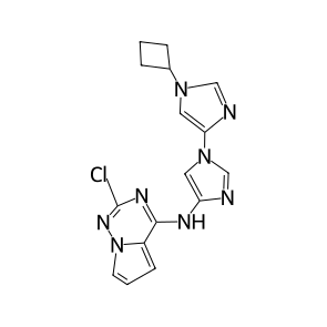 Clc1nc(Nc2cn(-c3cn(C4CCC4)cn3)cn2)c2cccn2n1